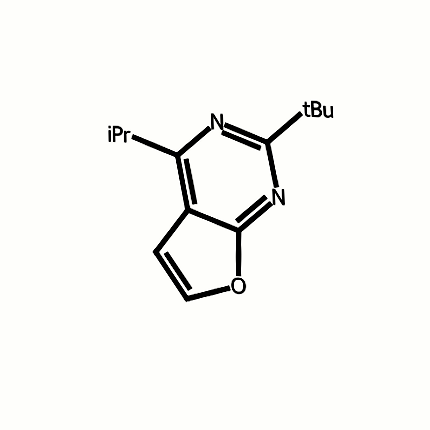 CC(C)c1nc(C(C)(C)C)nc2occc12